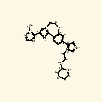 CC(C)n1ncnc1-c1cn2c(n1)-c1ccc(-c3cncn3CCOC3CCCCO3)cc1OCC2